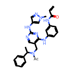 C=CC(=O)Nc1cccc(Nc2nc(Nc3cnn(C)c3)ncc2CN(C(C)=O)C(C)c2ccccc2)c1